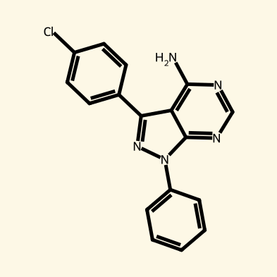 Nc1ncnc2c1c(-c1ccc(Cl)cc1)nn2-c1ccccc1